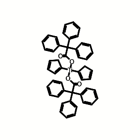 O=C([O][Ti]([O]C(=O)C(c1ccccc1)(c1ccccc1)c1ccccc1)([C]1=CC=CC1)[C]1=CC=CC1)C(c1ccccc1)(c1ccccc1)c1ccccc1